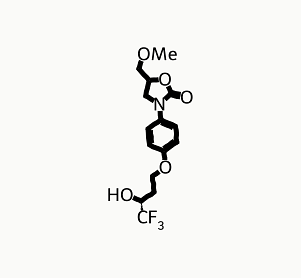 COCC1CN(c2ccc(OCC[C@@H](O)C(F)(F)F)cc2)C(=O)O1